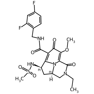 CCN1C[C@H]2C[C@@H](NS(C)(=O)=O)c3c(C(=O)NCc4ccc(F)cc4F)c(=O)c(OC)c(n32)C1=O